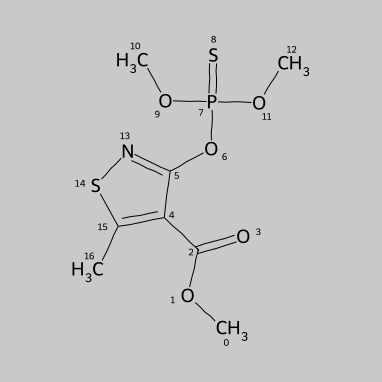 COC(=O)c1c(OP(=S)(OC)OC)nsc1C